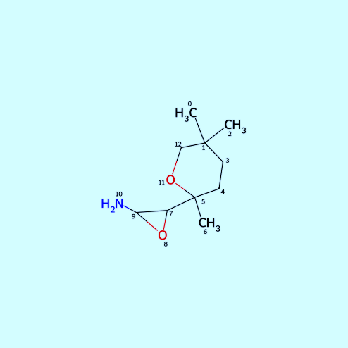 CC1(C)CCC(C)(C2OC2N)OC1